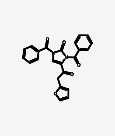 O=C(Cc1ccco1)c1cn(C(=O)c2ccccc2)c(=O)n1C(=O)c1ccccc1